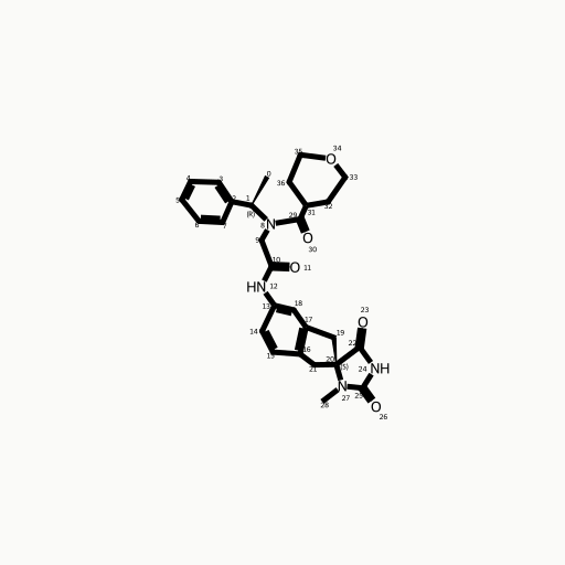 C[C@H](c1ccccc1)N(CC(=O)Nc1ccc2c(c1)C[C@@]1(C2)C(=O)NC(=O)N1C)C(=O)C1CCOCC1